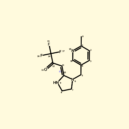 Cc1ccc(CN2CCN/C2=C\C(=O)C(F)(F)F)cn1